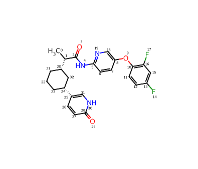 CC(C(=O)Nc1ccc(Oc2ccc(F)cc2F)cn1)[C@H]1CCC[C@@H](c2ccc(=O)[nH]c2)C1